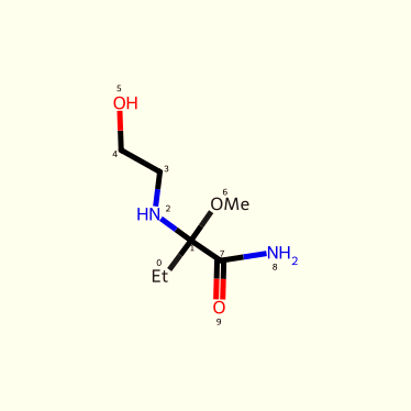 CCC(NCCO)(OC)C(N)=O